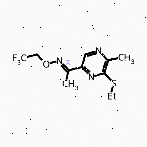 CCSc1nc(/C(C)=N/OCC(F)(F)F)cnc1C